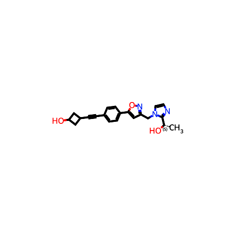 C[C@H](O)c1nccn1Cc1cc(-c2ccc(C#CC3CC(O)C3)cc2)on1